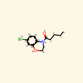 CCCCC(=O)N1CCOc2cc(Br)ccc21